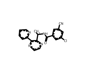 CC(NC(=O)c1cc(Cl)cc(C#N)c1)c1nccnc1-c1ccccn1